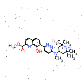 COC(=O)c1ccc2ccc(-c3ccc(N(C)C4CC(C)(C)NC(C)(C)C4)nn3)c(O)c2n1